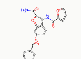 NC(=O)c1oc2cc(OCc3ccccc3)ccc2c1NC(=O)c1ccco1